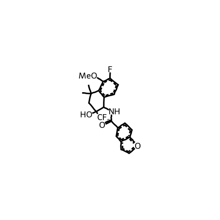 COc1c(F)ccc2c1C(C)(C)CC(O)(C(F)(F)F)C2NC(=O)c1ccc2occc2c1